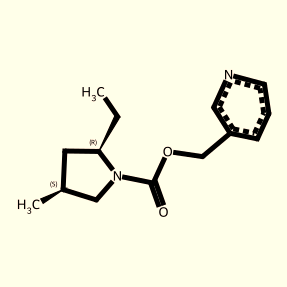 CC[C@@H]1C[C@H](C)CN1C(=O)OCc1cccnc1